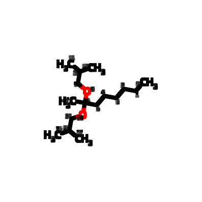 CCCCCCC(C)(OCC(C)C)OCC(C)C